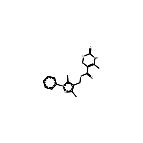 CC1=C(C(=O)OCc2c(C)nn(-c3ccccc3)c2C)CNC(=S)N1